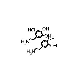 Cl.NCCc1ccc(O)c(O)c1.NCCc1ccc(O)c(O)c1